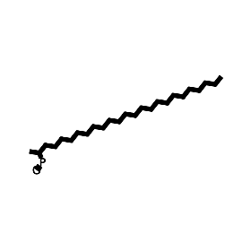 CCCCCCCCCCCCCCCCCCCCCCCC(C)P=O